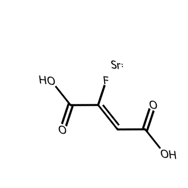 O=C(O)C=C(F)C(=O)O.[Sr]